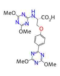 COc1nc(N[C@@H](COc2ccc(-c3nc(OC)nc(OC)n3)cc2)C(=O)O)nc(OC)n1